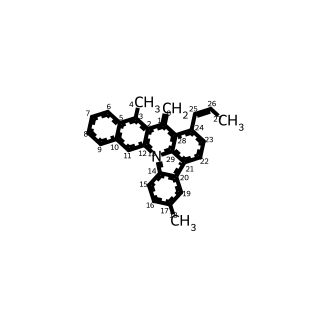 C=c1c2c(C)c3ccccc3cc2n2c3ccc(C)cc3c3ccc(/C=C\C)c1c32